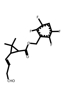 CC1(C)C(C=CCC=O)C1C(=O)OCc1c(F)c(F)cc(F)c1F